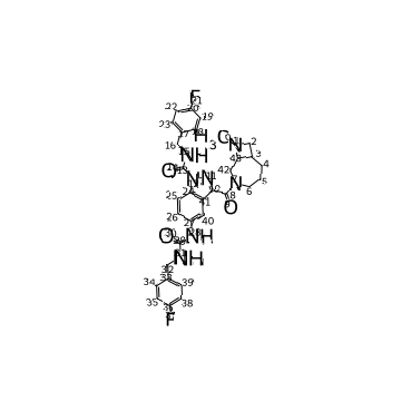 CN1CC2CCCN(C(=O)c3nn(C(=O)NCc4ccc(F)cc4)c4ccc(NC(=O)NCc5ccc(F)cc5)cc34)CC21